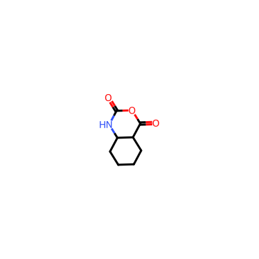 O=C1NC2CCCCC2C(=O)O1